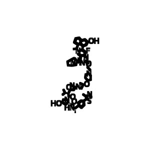 CCc1cccc2cc(O)cc(-c3ncc4c(N5CC6CCC(C5)N6)nc(OCCN5CCC(OC6CN(c7cc([C@@H](C(=O)N8C[C@H](O)C[C@H]8C(=O)N[C@@H](C)c8ccc(-c9scnc9C)cc8)C(C)C)on7)C6)CC5)nc4c3F)c12